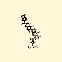 CN(C)C1CC(N/C(=N/C#N)NC[C@H](NC(=O)c2c(Cl)cc3c(c2Cl)CCN(C(=O)c2ccc4cn[nH]c4c2)C3)C(=O)O)C1